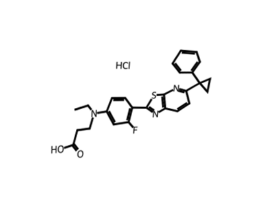 CCN(CCC(=O)O)c1ccc(-c2nc3ccc(C4(c5ccccc5)CC4)nc3s2)c(F)c1.Cl